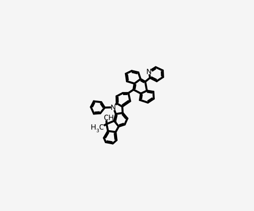 CC1(C)c2ccccc2-c2ccc3c4cc(-c5c6ccccc6c(-c6ccccn6)c6ccccc56)ccc4n(-c4ccccc4)c3c21